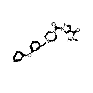 CNC(=O)c1cnn(C(=O)N2CCN(Cc3cccc(Oc4ccccc4)c3)CC2)c1